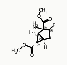 COC(=O)[C@H]1[C@@H]2C[C@H](F)[C@@](N)(C(=O)OC)[C@@H]21